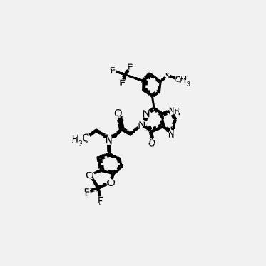 CCN(C(=O)Cn1nc(-c2cc(SC)cc(C(F)(F)F)c2)c2[nH]cnc2c1=O)c1ccc2c(c1)OC(F)(F)O2